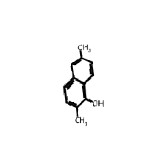 Cc1ccc2c(O)c(C)ccc2c1